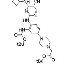 CC(C)(C)OC(=O)CN1CCN(c2ccc(Nc3ncc(C#N)c(NC4CCC4)n3)c(NC(=O)OC(C)(C)C)c2)CC1